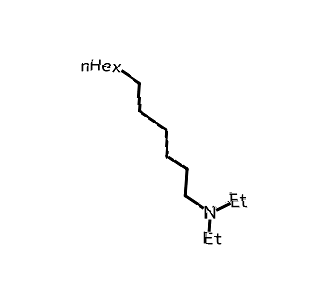 CCCCCCCCCCCCN(CC)CC